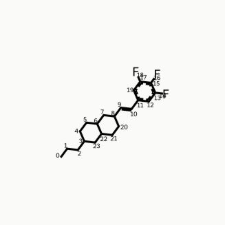 CCCC1CCC2CC(C=Cc3cc(F)c(F)c(F)c3)CCC2C1